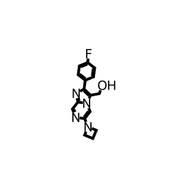 OCc1c(-c2ccc(F)cc2)nc2cnc(N3CCC3)cn12